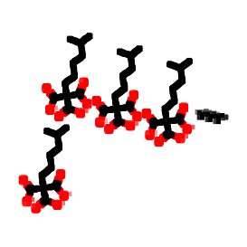 CC(C)CCCCC(C(=O)[O-])(C(=O)[O-])C(=O)[O-].CC(C)CCCCC(C(=O)[O-])(C(=O)[O-])C(=O)[O-].CC(C)CCCCC(C(=O)[O-])(C(=O)[O-])C(=O)[O-].CC(C)CCCCC(C(=O)[O-])(C(=O)[O-])C(=O)[O-].[Ti+4].[Ti+4].[Ti+4]